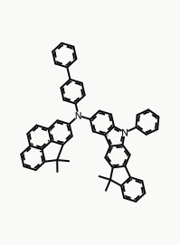 CC1(C)c2ccccc2-c2cc3c(cc21)c1cc(N(c2ccc(-c4ccccc4)cc2)c2cc4c5c(ccc6cccc(c65)C4(C)C)c2)ccc1n3-c1ccccc1